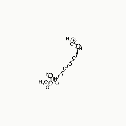 COC(=O)c1ccnc(C#CCOCCOCCOCCOCCNC(=O)[C@H]2CC(=O)N(C)[C@@H]2c2cccnc2)c1